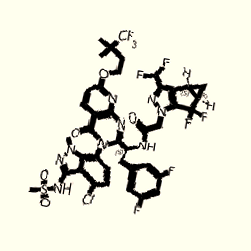 Cn1nc(NS(C)(=O)=O)c2c(Cl)ccc(-n3c([C@H](Cc4cc(F)cc(F)c4)NC(=O)Cn4nc(C(F)F)c5c4C(F)(F)[C@@H]4C[C@H]54)nc4nc(OCCC(C)(C)C(F)(F)F)ccc4c3=O)c21